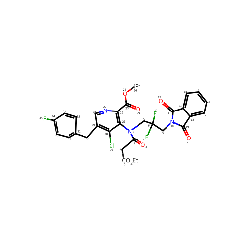 CCOC(=O)CC(=O)N(CC(F)(F)CN1C(=O)c2ccccc2C1=O)c1c(C(=O)OC(C)C)ncc(Cc2ccc(F)cc2)c1Cl